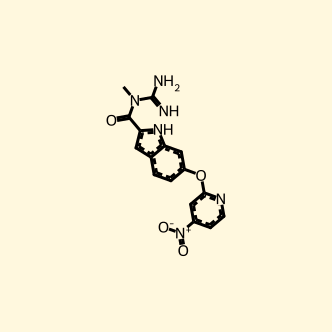 CN(C(=N)N)C(=O)c1cc2ccc(Oc3cc([N+](=O)[O-])ccn3)cc2[nH]1